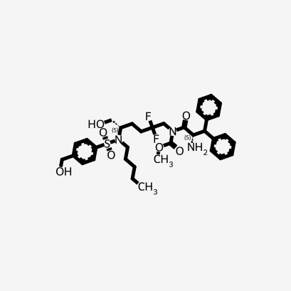 CCCCCN([C@H](CO)CCC(F)(F)CN(C(=O)OC)C(=O)[C@@H](N)C(c1ccccc1)c1ccccc1)S(=O)(=O)c1ccc(CO)cc1